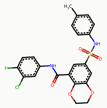 Cc1ccc(NS(=O)(=O)c2cc3c(c(C(=O)Nc4ccc(F)c(Cl)c4)c2)OCCO3)cc1